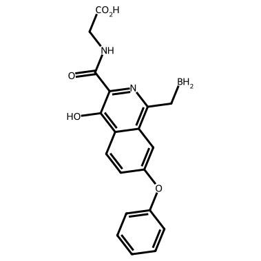 BCc1nc(C(=O)NCC(=O)O)c(O)c2ccc(Oc3ccccc3)cc12